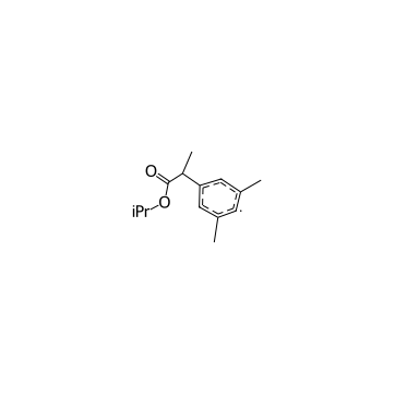 Cc1[c]c(C)cc(C(C)C(=O)OC(C)C)c1